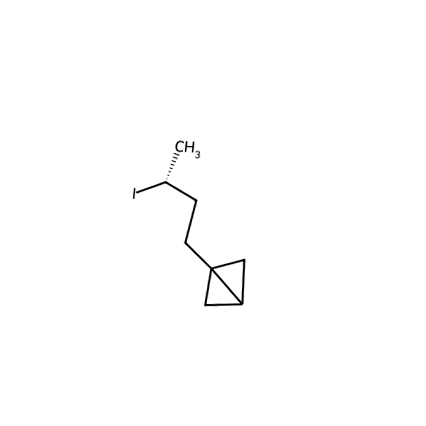 C[C@@H](I)CCC12CC1C2